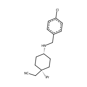 CC(C)[C@]1(CC#N)CC[C@H](NCc2ccc(Cl)cc2)CC1